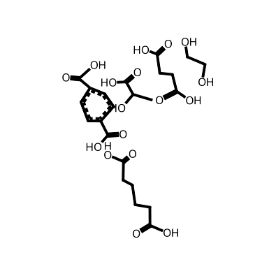 CC(O)C(=O)O.O=C(O)CCC(=O)O.O=C(O)CCCCC(=O)O.O=C(O)c1ccc(C(=O)O)cc1.OCCO